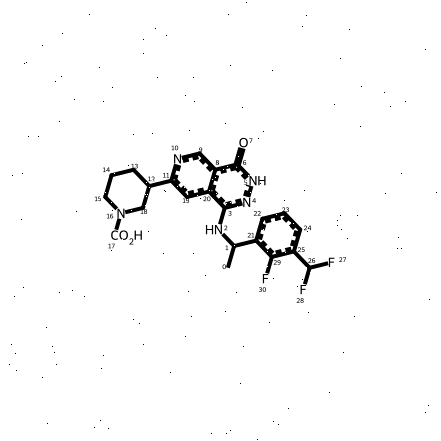 CC(Nc1n[nH]c(=O)c2cnc(C3CCCN(C(=O)O)C3)cc12)c1cccc(C(F)F)c1F